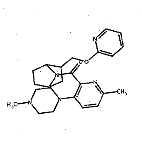 Cc1ccc(N2CCN(C)CC2)c(C(=O)N2C3CCC2C(COc2ccccn2)C3)n1